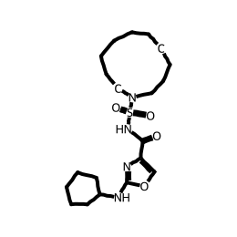 O=C(NS(=O)(=O)N1CCCCCCCCCC1)c1coc(NC2CCCCC2)n1